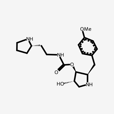 COc1ccc(C[C@H]2NC[C@H](O)[C@H]2OC(=O)NCC[C@@H]2CCCN2)cc1